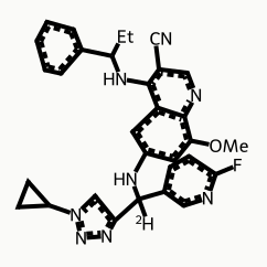 [2H]C(Nc1cc(OC)c2ncc(C#N)c(NC(CC)c3ccccc3)c2c1)(c1ccc(F)nc1)c1cn(C2CC2)nn1